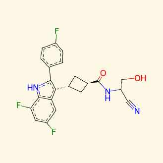 N#CC(CO)NC(=O)[C@H]1C[C@H](c2c(-c3ccc(F)cc3)[nH]c3c(F)cc(F)cc32)C1